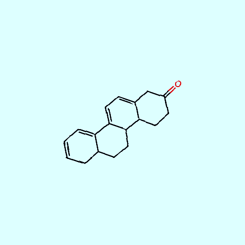 O=C1CCC2C(=CC=C3C4=CC=CCC4CCC32)C1